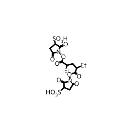 CCC(CC(CC)C(=O)ON1C(=O)CC(S(=O)(=O)O)C1=O)C(=O)ON1C(=O)CC(S(=O)(=O)O)C1=O